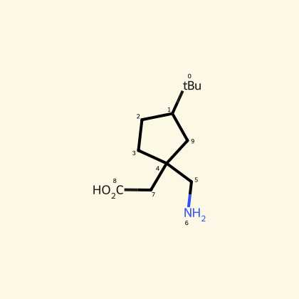 CC(C)(C)C1CCC(CN)(CC(=O)O)C1